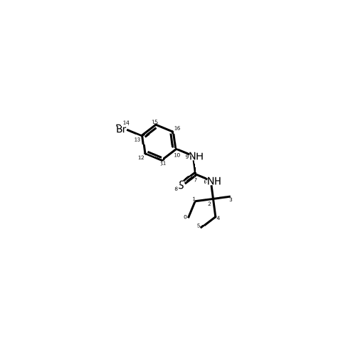 CCC(C)(CC)NC(=S)Nc1ccc(Br)cc1